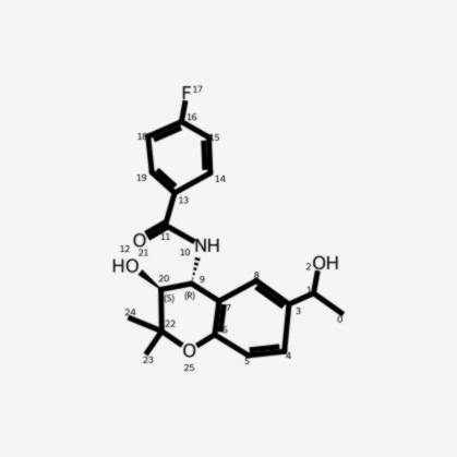 CC(O)c1ccc2c(c1)[C@@H](NC(=O)c1ccc(F)cc1)[C@H](O)C(C)(C)O2